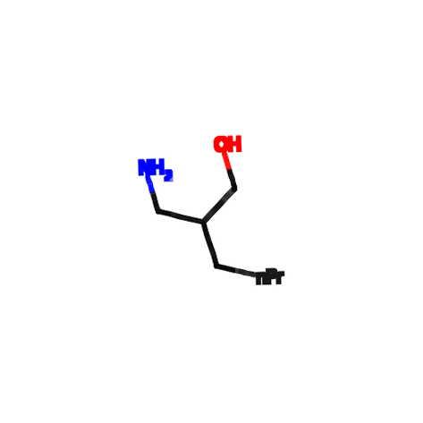 CCCCC(CN)CO